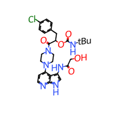 CC(C)(C)NC(=O)OC(Cc1ccc(Cl)cc1)C(=O)N1CCN(c2ccnc3[nH]cc(NC(=O)CO)c23)CC1